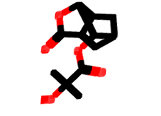 CC(C)(O)C(=O)OC1C2CC3C(=O)OC1C3C2